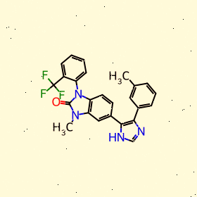 Cc1cccc(-c2nc[nH]c2-c2ccc3c(c2)n(C)c(=O)n3-c2ccccc2C(F)(F)F)c1